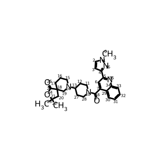 Cn1ccc(-c2cc(C(=O)N3CCC(N4CCCC5(C4)CC(C)(C)OC5=O)CC3)c3ccccc3n2)n1